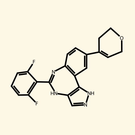 Fc1cccc(F)c1C1=Nc2ccc(C3=CCOCC3)cc2-c2[nH]ncc2N1